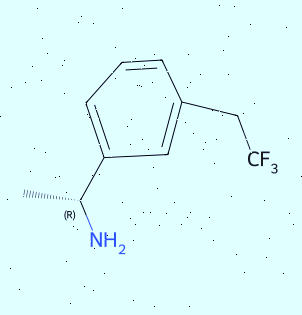 C[C@@H](N)c1cccc(CC(F)(F)F)c1